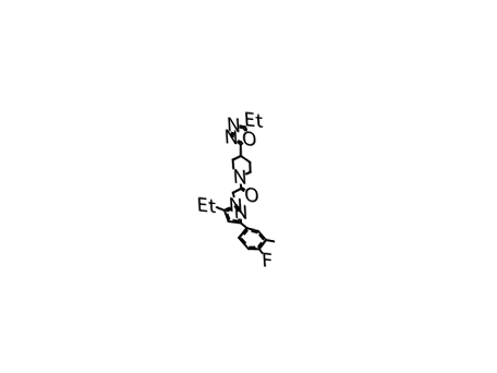 CCc1nnc(C2CCN(C(=O)Cn3nc(-c4ccc(F)c(C)c4)cc3CC)CC2)o1